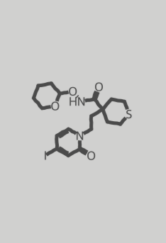 O=C(NOC1CCCCO1)C1(CCn2ccc(I)cc2=O)CCSCC1